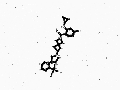 O=C(c1ccc(F)cc1OC1CC1)N1CC2(CC(N3CCC(c4ccccc4C(F)(F)F)C3)C2)C1